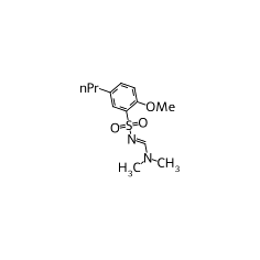 CCCc1ccc(OC)c(S(=O)(=O)N=CN(C)C)c1